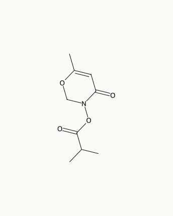 CC1=CC(=O)N(OC(=O)C(C)C)CO1